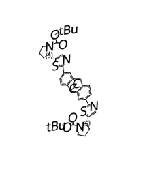 CC(C)(C)OC(=O)N1CCC[C@H]1c1cnc(-c2ccc3c(c2)C2CCC3c3cc(-c4ncc([C@@H]5CCCN5C(=O)OC(C)(C)C)s4)ccc32)s1